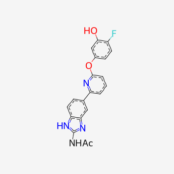 CC(=O)Nc1nc2cc(-c3cccc(Oc4ccc(F)c(O)c4)n3)ccc2[nH]1